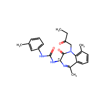 CCC(=O)CN1C(=O)[C@H](NC(=O)Nc2cccc(C)c2)N=C(C)c2cccc(C)c21